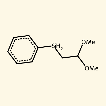 COC(C[SiH2]c1ccccc1)OC